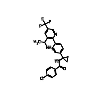 CC(N)c1cc(C(F)(F)F)cnc1-c1ccc(C2(NC(=O)c3ccc(Cl)cc3)CC2)cc1